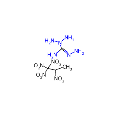 CC([N+](=O)[O-])C([N+](=O)[O-])([N+](=O)[O-])[N+](=O)[O-].NN=C(N)N(N)N